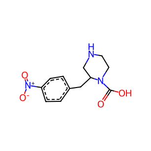 O=C(O)N1CCNCC1Cc1ccc([N+](=O)[O-])cc1